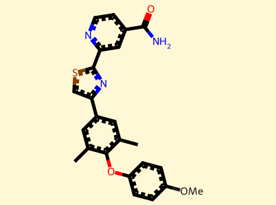 COc1ccc(Oc2c(C)cc(-c3csc(-c4cc(C(N)=O)ccn4)n3)cc2C)cc1